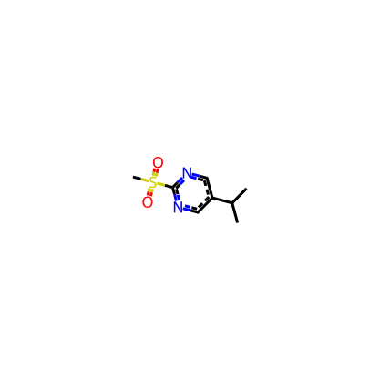 CC(C)c1cnc(S(C)(=O)=O)nc1